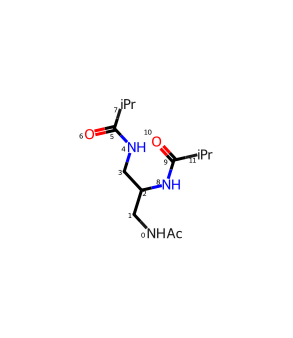 CC(=O)NCC(CNC(=O)C(C)C)NC(=O)C(C)C